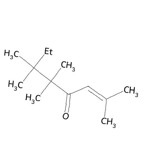 CCC(C)(C)C(C)(C)C(=O)C=C(C)C